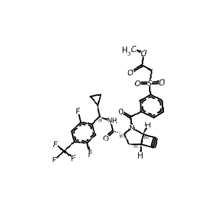 COC(=O)CS(=O)(=O)c1cccc(C(=O)N2[C@@H](C(=O)N[C@@H](c3cc(F)c(C(F)(F)F)cc3F)C3CC3)C[C@H]3C#C[C@H]32)c1